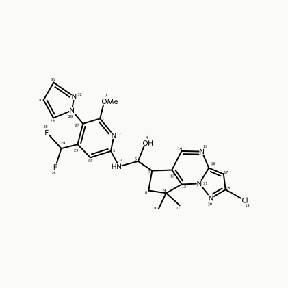 COc1nc(NC(O)C2CC(C)(C)c3c2cnc2cc(Cl)nn32)cc(C(F)F)c1-n1cccn1